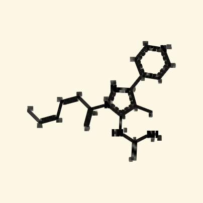 C=C(N)Nc1c(C)c(-c2ccncc2)nn1C(=C)/C=C\C=C/C